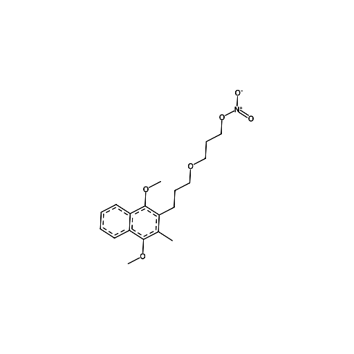 COc1c(C)c(CCCOCCCO[N+](=O)[O-])c(OC)c2ccccc12